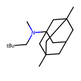 CN(CC(C)(C)C)C12CC3CC(C)(CC(C)(C3)C1)C2